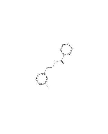 CCc1cccc(CCNC(=O)c2ccccc2)c1